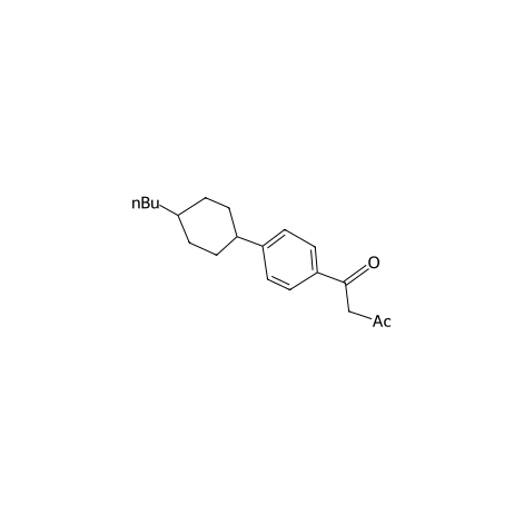 CCCCC1CCC(c2ccc(C(=O)CC(C)=O)cc2)CC1